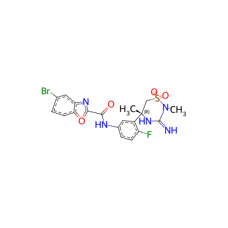 CN1C(=N)N[C@](C)(c2cc(NC(=O)c3nc4cc(Br)ccc4o3)ccc2F)CS1(=O)=O